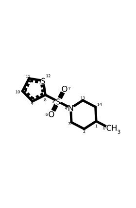 CC1CCN(S(=O)(=O)c2cccs2)CC1